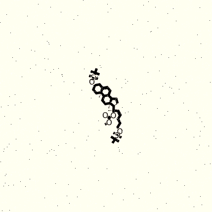 COC(=O)O[C@](C)(/C=C\CCCO[Si](C)(C)C(C)(C)C)[C@H]1CCC2C3CC=C4CC(O[Si](C)(C)C(C)(C)C)CC[C@]4(C)C3CC[C@@]21C